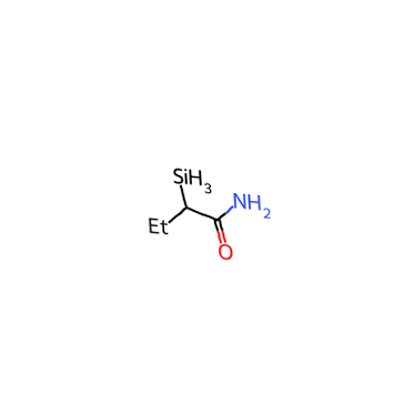 CCC([SiH3])C(N)=O